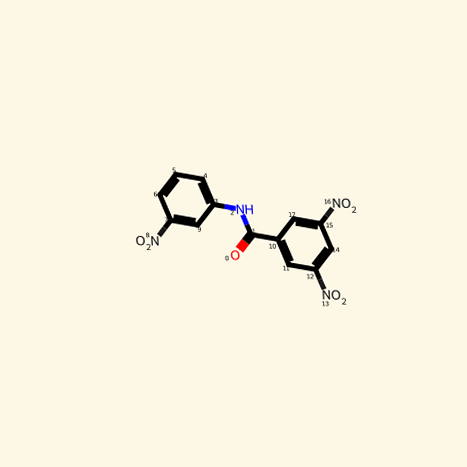 O=C(Nc1cccc([N+](=O)[O-])c1)c1cc([N+](=O)[O-])cc([N+](=O)[O-])c1